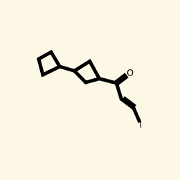 O=C(C=CI)C1CC(C2CCC2)C1